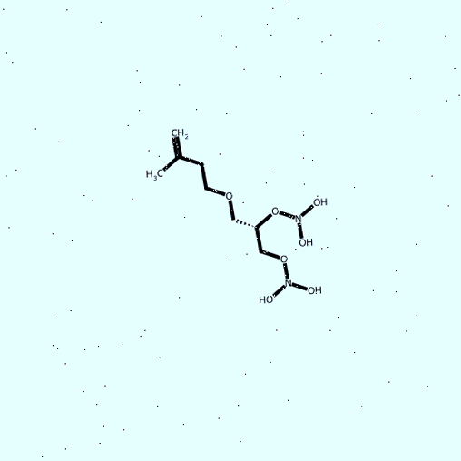 C=C(C)CCOC[C@@H](CON(O)O)ON(O)O